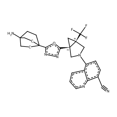 N#Cc1ccc(N2C[C@]3(c4nnc(C56CCC(N)(CC5)CC6)o4)C[C@]3(C(F)(F)F)C2)c2cccnc12